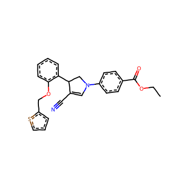 CCOC(=O)c1ccc(N2C=C(C#N)C(c3ccccc3OCc3cccs3)C2)cc1